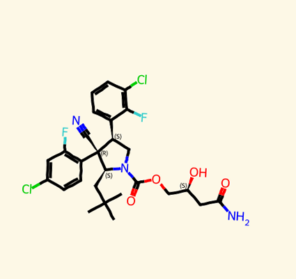 CC(C)(C)C[C@@H]1N(C(=O)OC[C@@H](O)CC(N)=O)C[C@H](c2cccc(Cl)c2F)[C@@]1(C#N)c1ccc(Cl)cc1F